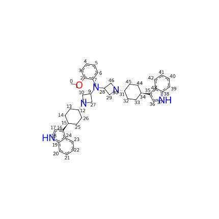 COc1ccccc1N(C1CN([C@H]2CC[C@H](c3c[nH]c4ccccc43)CC2)C1)C1CN([C@H]2CC[C@H](c3c[nH]c4ccccc43)CC2)C1